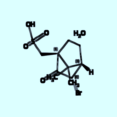 CC1(C)[C@@H]2CC[C@@]1(CS(=O)(=O)O)C(=O)[C@H]2Br.O